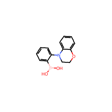 OB(O)c1ccccc1N1CCOc2ccccc21